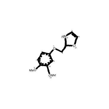 COc1ccc(OCC2NC=CO2)cc1OC